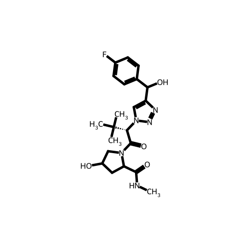 CNC(=O)C1CC(O)CN1C(=O)[C@@H](n1cc(C(O)c2ccc(F)cc2)nn1)C(C)(C)C